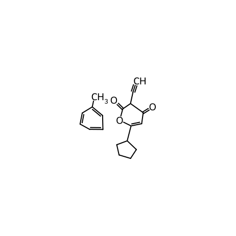 C#CC1C(=O)C=C(C2CCCC2)OC1=O.Cc1ccccc1